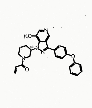 C=CC(=O)N1CCC[C@@H](n2nc(-c3ccc(Oc4ccccc4)cc3)c3cncc(C#N)c32)C1